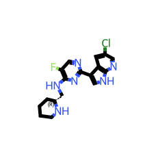 Fc1cnc(-c2c[nH]c3ncc(Cl)cc23)nc1NC[C@H]1CCCCN1